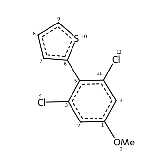 COc1cc(Cl)c(-c2cccs2)c(Cl)c1